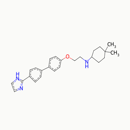 CC1(C)CCC(NCCOc2ccc(-c3ccc(-c4ncc[nH]4)cc3)cc2)CC1